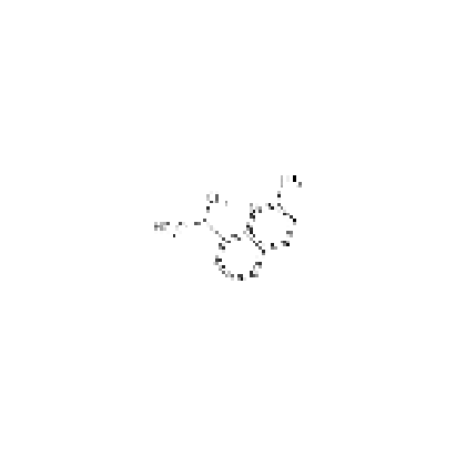 Cc1ccc2cccc(C(C)C(=O)O)c2n1